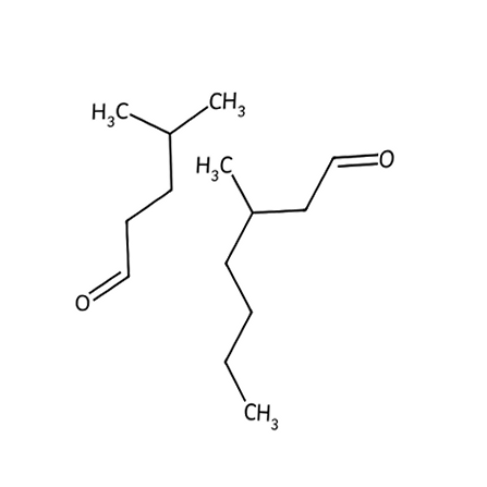 CC(C)CCC=O.CCCCC(C)CC=O